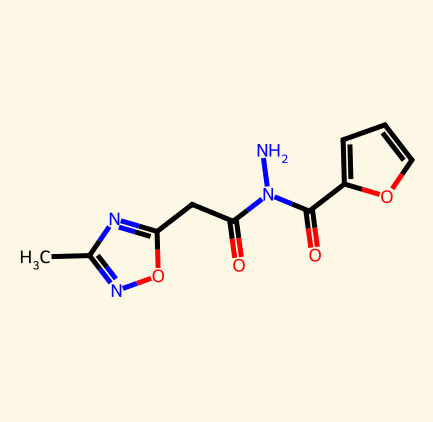 Cc1noc(CC(=O)N(N)C(=O)c2ccco2)n1